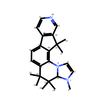 CN1C=CN2c3c(ccc4c3C(C)(C)c3cnccc3-4)C(C)(C)C(C)(C)C12